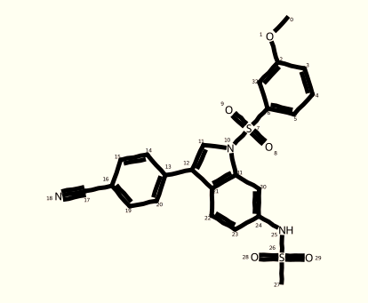 COc1cccc(S(=O)(=O)n2cc(-c3ccc(C#N)cc3)c3ccc(NS(C)(=O)=O)cc32)c1